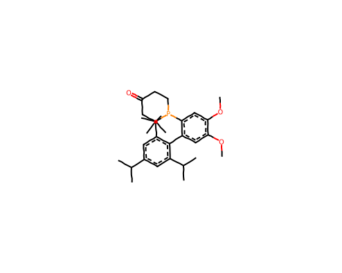 COc1cc(-c2c(C(C)C)cc(C(C)C)cc2C(C)C)c(P2CCC(=O)CC2(C)C)cc1OC